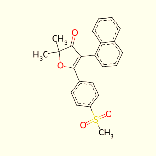 CC1(C)OC(c2ccc(S(C)(=O)=O)cc2)=C(c2cccc3ccccc23)C1=O